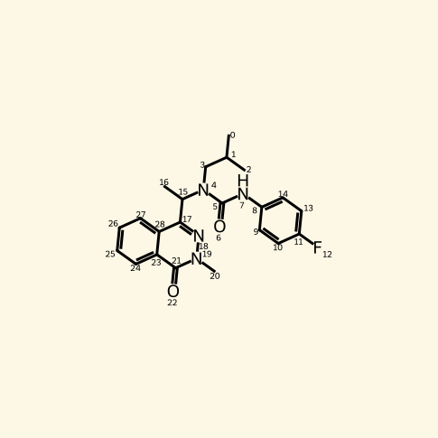 CC(C)CN(C(=O)Nc1ccc(F)cc1)C(C)c1nn(C)c(=O)c2ccccc12